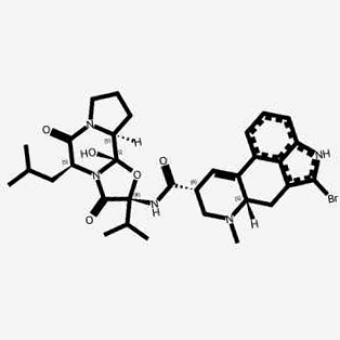 CC(C)C[C@H]1C(=O)N2CCC[C@H]2[C@]2(O)O[C@](NC(=O)[C@@H]3C=C4c5cccc6[nH]c(Br)c(c56)C[C@@H]4N(C)C3)(C(C)C)C(=O)N12